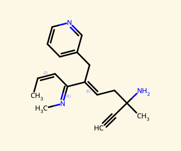 C#CC(C)(N)C/C=C(Cc1cccnc1)/C(/C=C\C)=N/C